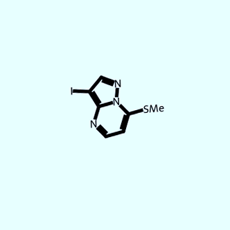 CSc1ccnc2c(I)cnn12